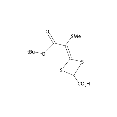 CSC(C(=O)OC(C)(C)C)=C1SC(C(=O)O)S1